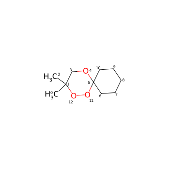 CC1(C)COC2(CCCCC2)OO1